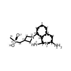 CCCc1nc(N)cc2cccc(N3CC(CS(C)(=O)=O)C3)c12